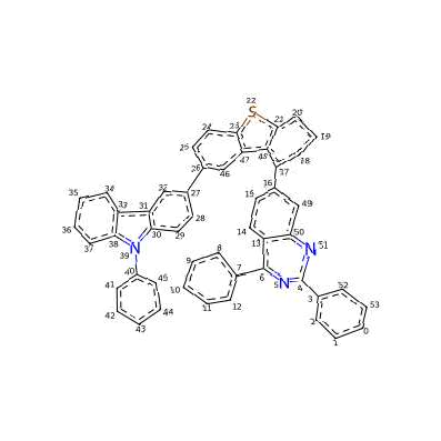 c1ccc(-c2nc(-c3ccccc3)c3ccc(-c4cccc5sc6ccc(-c7ccc8c(c7)c7ccccc7n8-c7ccccc7)cc6c45)cc3n2)cc1